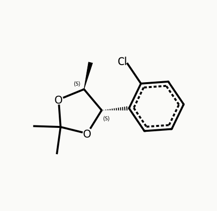 C[C@@H]1OC(C)(C)O[C@H]1c1ccccc1Cl